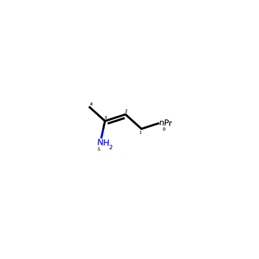 CCCCC=C(C)N